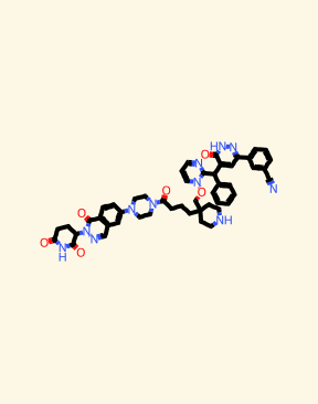 N#Cc1cccc(-c2cc(C(c3ccccc3)C3N=CC=CN3OCC3(CCCC(=O)N4CCN(c5ccc6c(=O)n(C7CCC(=O)NC7=O)ncc6c5)CC4)CCNCC3)c(=O)[nH]n2)c1